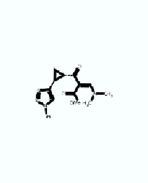 COC(=O)/C(=C\N(C)C)C(=O)[C@H]1C[C@@H]1c1cn(C(C)C)nn1